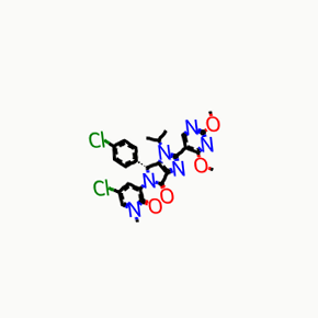 COc1ncc(-c2nc3c(n2C(C)C)[C@@H](c2ccc(Cl)cc2)N(c2cc(Cl)cn(C)c2=O)C3=O)c(OC)n1